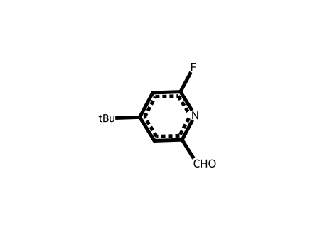 CC(C)(C)c1cc(F)nc(C=O)c1